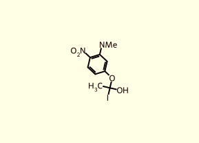 CNc1cc(OC(C)(O)I)ccc1[N+](=O)[O-]